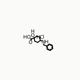 Cl.O=C(O)C1(O)CCC(NCc2ccccc2)CC1